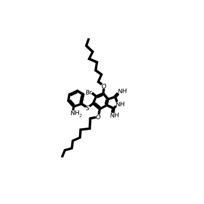 CCCCCCCCOc1c(Br)c(Sc2ccccc2N)c(OCCCCCCCC)c2c1C(=N)NC2=N